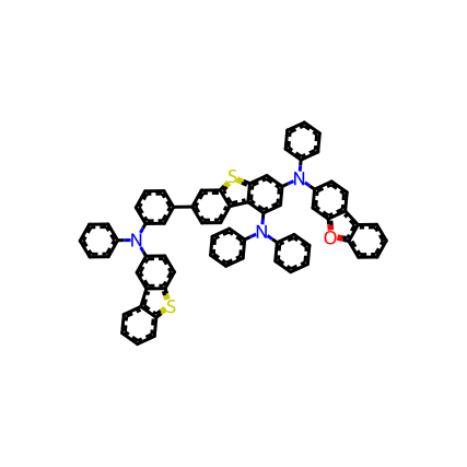 c1ccc(N(c2ccc3c(c2)oc2ccccc23)c2cc(N(c3ccccc3)c3ccccc3)c3c(c2)sc2cc(-c4cccc(N(c5ccccc5)c5ccc6sc7ccccc7c6c5)c4)ccc23)cc1